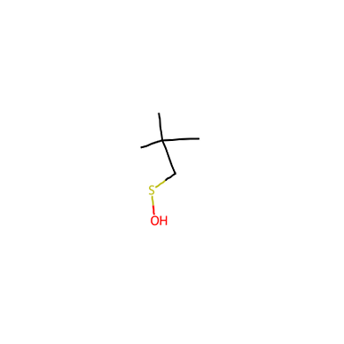 CC(C)(C)CSO